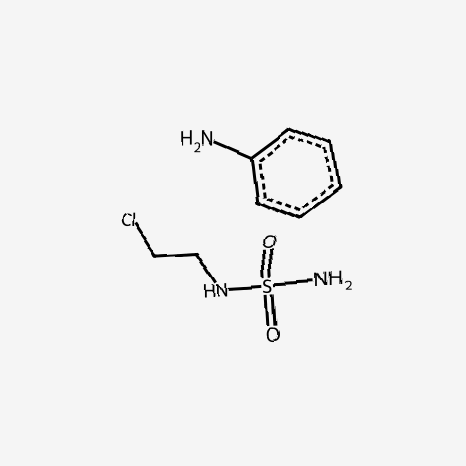 NS(=O)(=O)NCCCl.Nc1ccccc1